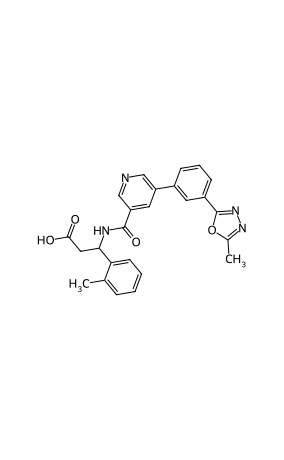 Cc1nnc(-c2cccc(-c3cncc(C(=O)NC(CC(=O)O)c4ccccc4C)c3)c2)o1